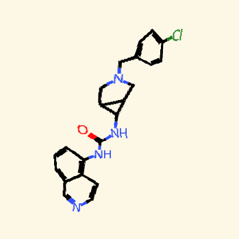 O=C(Nc1cccc2cnccc12)NC1C2CN(Cc3ccc(Cl)cc3)CC21